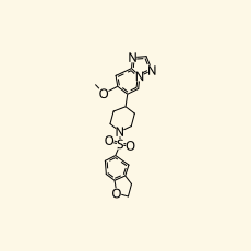 COc1cc2ncnn2cc1C1CCN(S(=O)(=O)c2ccc3c(c2)CCO3)CC1